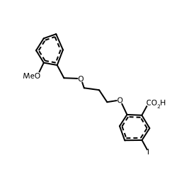 COc1ccccc1COCCCOc1ccc(I)cc1C(=O)O